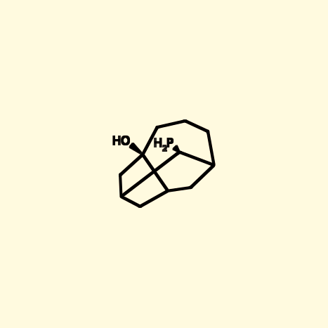 O[C@@]12CCCC3CC1CC(C2)[C@H]3P